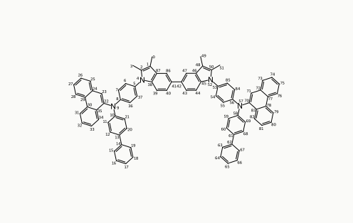 Cc1c(C)n(-c2ccc(N(c3ccc(-c4ccccc4)cc3)c3cc4ccccc4c4ccccc34)cc2)c2ccc(-c3ccc4c(c3)c(C)c(C)n4-c3ccc(N(c4ccc(-c5ccccc5)cc4)c4cc5ccccc5c5ccccc45)cc3)cc12